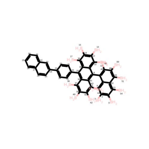 Bc1c(B)c(B)c2c(-c3c4c(B)c(B)c(B)c(B)c4c(-c4ccc(-c5ccc6ccccc6c5)cc4)c4c(B)c(B)c(B)c(B)c34)c(B)c(B)c(B)c2c1B